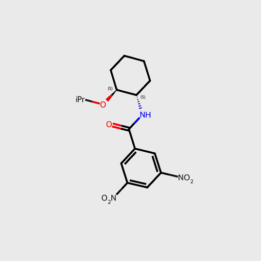 CC(C)O[C@H]1CCCC[C@@H]1NC(=O)c1cc([N+](=O)[O-])cc([N+](=O)[O-])c1